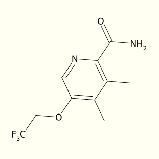 Cc1c(OCC(F)(F)F)cnc(C(N)=O)c1C